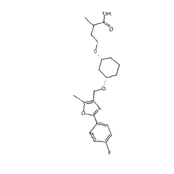 Cc1oc(-c2ccc(F)cc2)nc1CO[C@H]1CCC[C@@H](OCCC(C)C(=O)O)C1